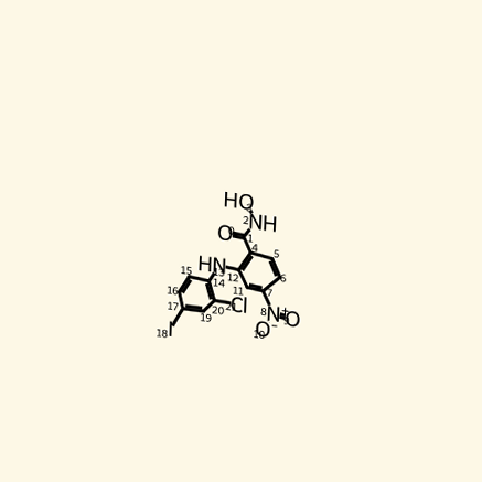 O=C(NO)c1ccc([N+](=O)[O-])cc1Nc1ccc(I)cc1Cl